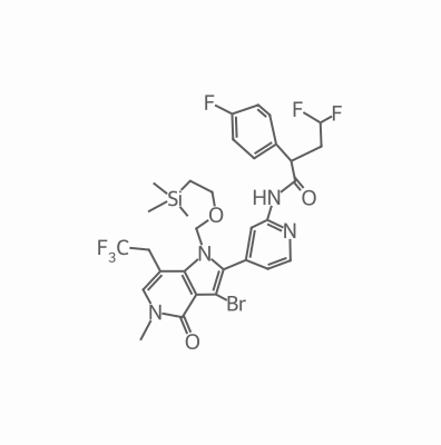 Cn1cc(CC(F)(F)F)c2c(c(Br)c(-c3ccnc(NC(=O)C(CC(F)F)c4ccc(F)cc4)c3)n2COCC[Si](C)(C)C)c1=O